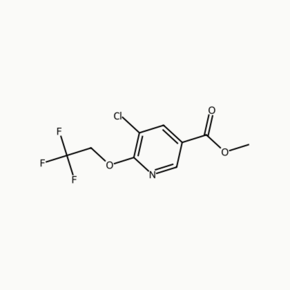 COC(=O)c1cnc(OCC(F)(F)F)c(Cl)c1